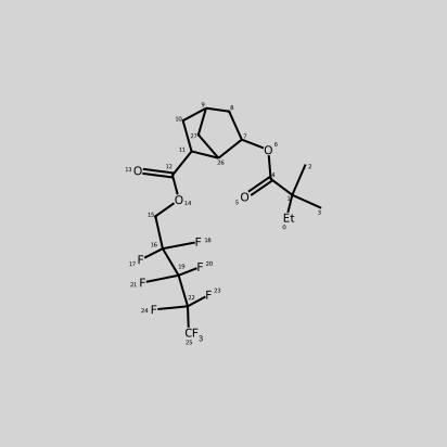 CCC(C)(C)C(=O)OC1CC2CC(C(=O)OCC(F)(F)C(F)(F)C(F)(F)C(F)(F)F)C1C2